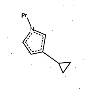 CC(C)n1ccc(C2CC2)c1